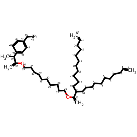 C=CCCCCCCCCCC(CCCCCCCCCC=C)C(=C)OCCCCCCCCCCOC(=C)[C@@H](C)c1ccc(CC(C)C)cc1